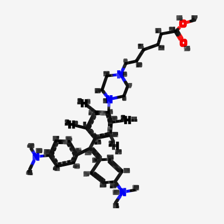 [2H]c1c([2H])c(N2CCN(CCCCCC(=O)OC)CC2)c([2H])c([2H])c1C(=C1C=CC(N(C)C)C=C1)c1ccc(N(C)C)cc1